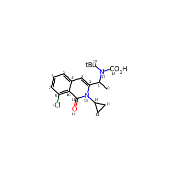 CC(c1cc2cccc(Cl)c2c(=O)n1C1CC1)N(C(=O)O)C(C)(C)C